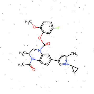 COc1ccc(F)cc1OC(=O)N1C[C@H](C)N(C(C)=O)c2ccc(-c3cc(C)n(C4CC4)c3)cc21